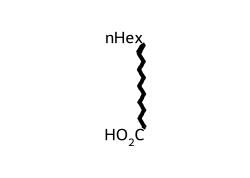 CCCCCCC=CCCCCCCCCCC(=O)O